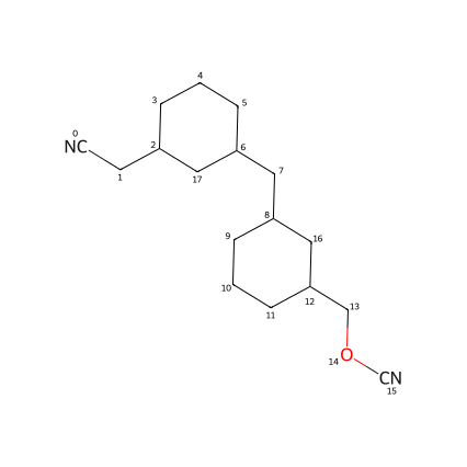 N#CCC1CCCC(CC2CCCC(COC#N)C2)C1